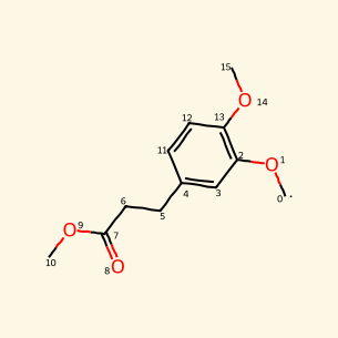 [CH2]Oc1cc(CCC(=O)OC)ccc1OC